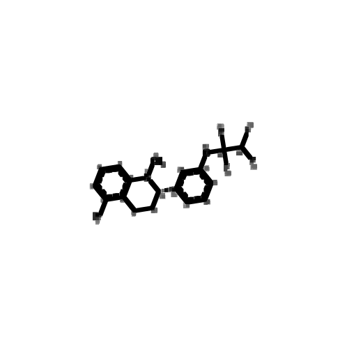 CN1c2cccc(Br)c2CC[C@H]1c1cccc(OC(F)(F)C(F)F)c1